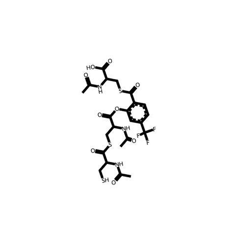 CC(=O)NC(CSC(=O)c1ccc(C(F)(F)F)cc1OC(=O)C(CSC(=O)C(CS)NC(C)=O)NC(C)=O)C(=O)O